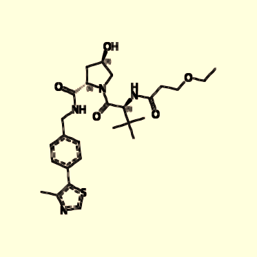 CCOCCC(=O)N[C@H](C(=O)N1C[C@H](O)C[C@H]1C(=O)NCc1ccc(-c2scnc2C)cc1)C(C)(C)C